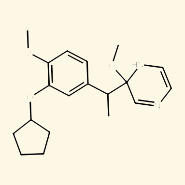 COc1ccc(C(C)C2(OC)C=NC=CN2)cc1OC1CCCC1